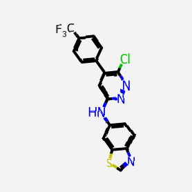 FC(F)(F)c1ccc(-c2cc(Nc3ccc4ncsc4c3)nnc2Cl)cc1